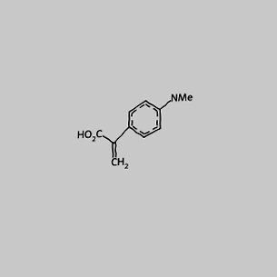 C=C(C(=O)O)c1ccc(NC)cc1